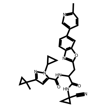 Cc1ccc(-c2ccc3nc(CC(NC(=O)c4cc(C5(C)CC5)nn4C4CC4)C(=O)NC4(C#N)CC4)oc3c2)cn1